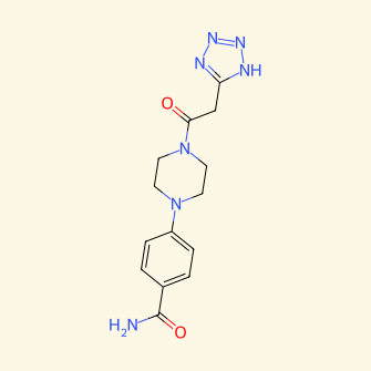 NC(=O)c1ccc(N2CCN(C(=O)Cc3nnn[nH]3)CC2)cc1